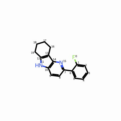 Fc1ccccc1-c1ccc2[nH]c3c(c2n1)CCCC3